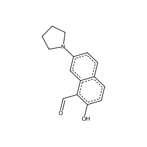 O=Cc1c(O)ccc2ccc(N3CCCC3)cc12